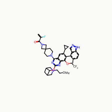 C=C(F)C(=O)N1CC2(CCN(c3nc(OC4C5CC4CN(CCOC)C5)nc4c(OCC(F)(F)F)c(-c5c(C)ccc6[nH]ncc56)c(C5CC5)cc34)CC2)C1